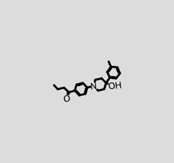 CCCC(=O)c1ccc(N2CCC(O)(c3cccc(C)c3)CC2)cc1